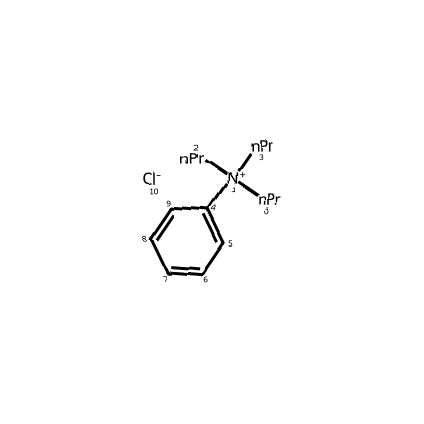 CCC[N+](CCC)(CCC)c1ccccc1.[Cl-]